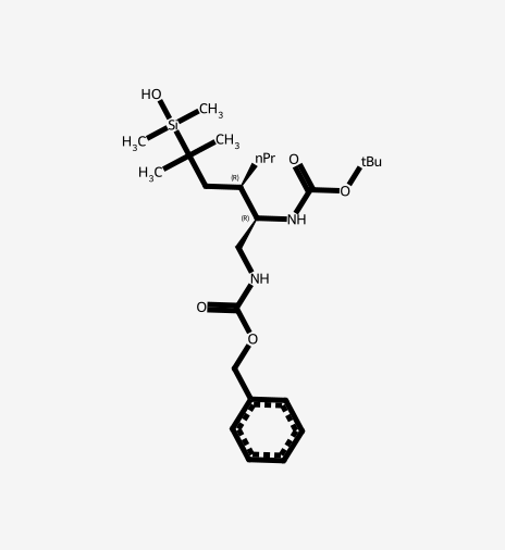 CCC[C@H](CC(C)(C)[Si](C)(C)O)[C@H](CNC(=O)OCc1ccccc1)NC(=O)OC(C)(C)C